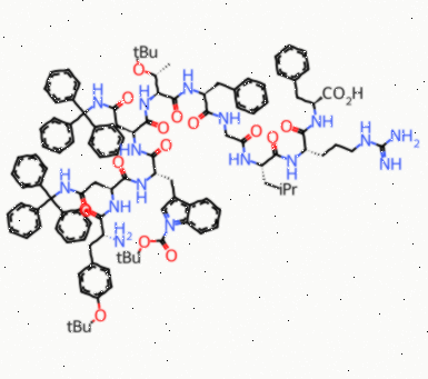 CC(C)C[C@H](NC(=O)CNC(=O)[C@H](Cc1ccccc1)NC(=O)[C@@H](NC(=O)[C@H](CC(=O)NC(c1ccccc1)(c1ccccc1)c1ccccc1)NC(=O)[C@H](Cc1cn(C(=O)OC(C)(C)C)c2ccccc12)NC(=O)[C@H](CC(=O)NC(c1ccccc1)(c1ccccc1)c1ccccc1)NC(=O)[C@H](N)Cc1ccc(OC(C)(C)C)cc1)[C@@H](C)OC(C)(C)C)C(=O)N[C@@H](CCCNC(=N)N)C(=O)N[C@@H](Cc1ccccc1)C(=O)O